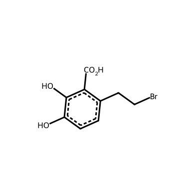 O=C(O)c1c(CCBr)ccc(O)c1O